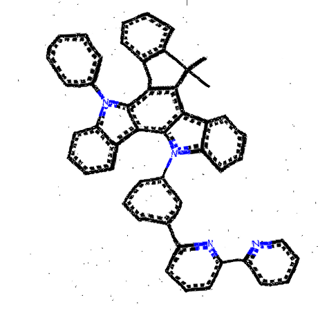 CC1(C)c2ccccc2-c2c1c1c3ccccc3n(-c3cccc(-c4cccc(-c5ccccn5)n4)c3)c1c1c3ccccc3n(-c3ccccc3)c21